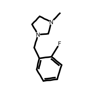 CN1CCN(Cc2ccccc2F)C1